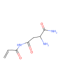 C=CC(=O)NC(=O)CC(N)C(N)=O